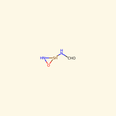 O=CN[SH]1NO1